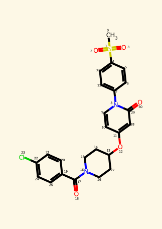 CS(=O)(=O)c1ccc(-n2ccc(OC3CCN(C(=O)c4ccc(Cl)cc4)CC3)cc2=O)cc1